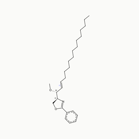 CCCCCCCCCCCCC/C=C/[C@@H](OC)[C@@H]1COC(c2ccccc2)=N1